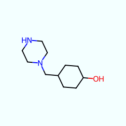 OC1CCC(CN2CCNCC2)CC1